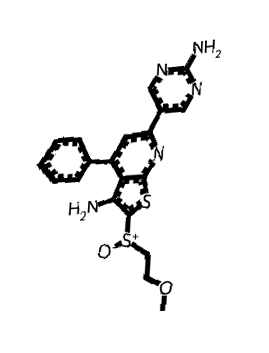 COCC[S+]([O-])c1sc2nc(-c3cnc(N)nc3)cc(-c3ccccc3)c2c1N